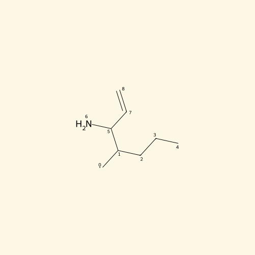 [CH2]C(CCC)C(N)C=C